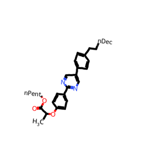 CCCCCCCCCCCCc1ccc(-c2cnc(-c3ccc(OC(C)C(=O)OCCCCC)cc3)nc2)cc1